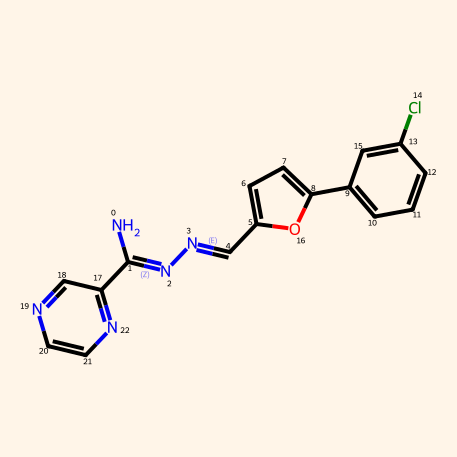 N/C(=N\N=C\c1ccc(-c2cccc(Cl)c2)o1)c1cnccn1